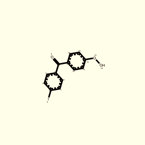 O=C(c1ccc(I)cc1)c1ccc(OO)cc1